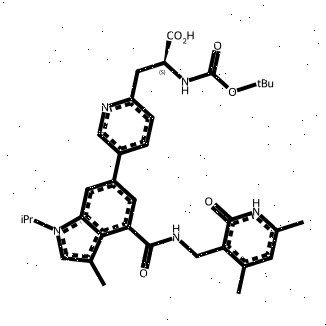 Cc1cc(C)c(CNC(=O)c2cc(-c3ccc(C[C@H](NC(=O)OC(C)(C)C)C(=O)O)nc3)cc3c2c(C)cn3C(C)C)c(=O)[nH]1